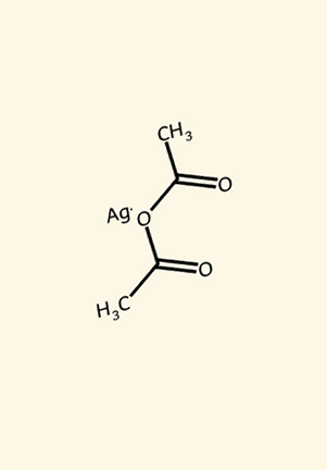 CC(=O)OC(C)=O.[Ag]